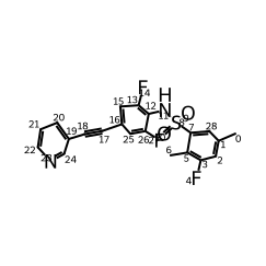 Cc1cc(F)c(C)c(S(=O)(=O)Nc2c(F)cc(C#Cc3cccnc3)cc2F)c1